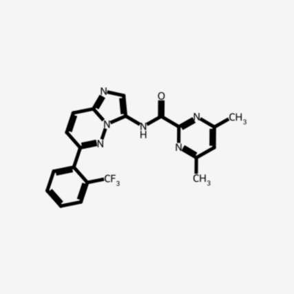 Cc1cc(C)nc(C(=O)Nc2cnc3ccc(-c4ccccc4C(F)(F)F)nn23)n1